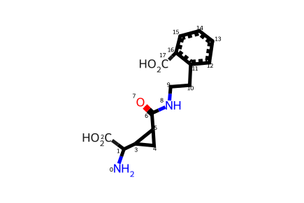 NC(C(=O)O)C1CC1C(=O)NCCc1ccccc1C(=O)O